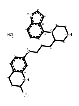 CC1CCc2ccc(OCCCC3CNCCN3c3cccc4sccc34)cc2N1.Cl